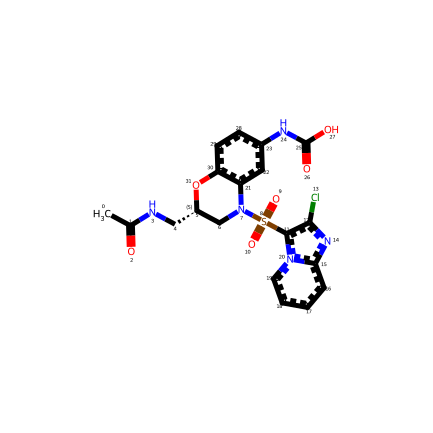 CC(=O)NC[C@H]1CN(S(=O)(=O)c2c(Cl)nc3ccccn23)c2cc(NC(=O)O)ccc2O1